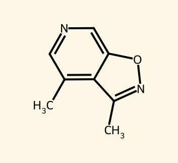 Cc1cncc2onc(C)c12